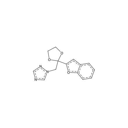 c1ccc2oc(C3(Cn4cncn4)OCCO3)cc2c1